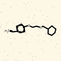 C=Cc1ccc(OCCOCC2CCCCC2)cc1